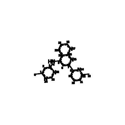 Cc1cc(Nc2cc(-c3cccc(C)n3)nc3ncccc23)ncn1